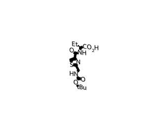 CC[C@H](NC(=O)c1csc(CNC(=O)OC(C)(C)C)n1)C(=O)O